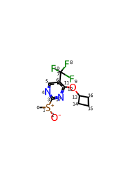 C[S+]([O-])c1ncc(C(F)(F)F)c(OC2CCC2)n1